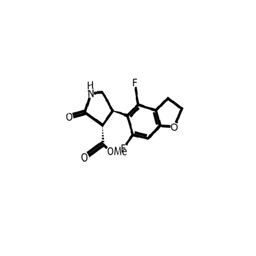 COC(=O)[C@@H]1C(=O)NC[C@H]1c1c(F)cc2c(c1F)CCO2